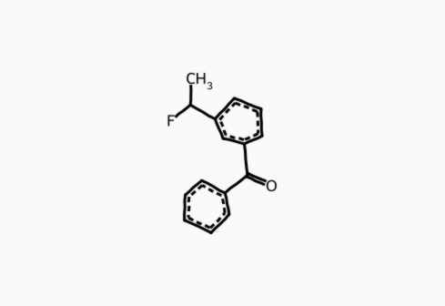 CC(F)c1cccc(C(=O)c2ccccc2)c1